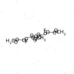 C=CC(=O)OCCCCOc1ccc(CCC(=O)Oc2ccc(OC(=O)CCc3ccc(OCCCCOC(=O)C=C)c(F)c3)c(C(F)(F)F)c2C)cc1F